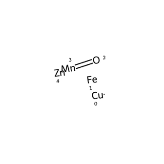 [Cu].[Fe].[O]=[Mn].[Zn]